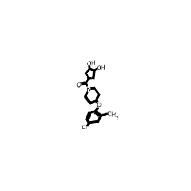 Cc1cc(Cl)ccc1OC1CCN(C(=O)C2CC(O)C(O)C2)CC1